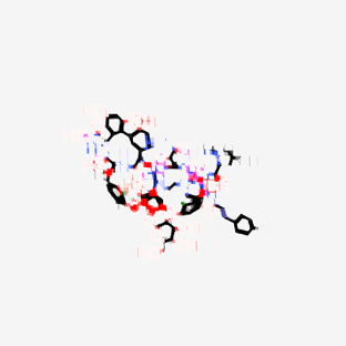 CN[C@H](CC(C)C)C(=O)N[C@H]1C(=O)N[C@@H](CC(N)=O)C(=O)N[C@H]2C(=O)N[C@H]3C(=O)N[C@H](C(=O)N[C@@H](C(=O)NO)c4cc(O)cc(O)c4-c4cc3ccc4O)[C@H](O)c3ccc(c(Cl)c3)Oc3cc2cc(c3O[C@@H]2O[C@H](CO)[C@@H](O)[C@H](O)[C@H]2O[C@H]2C[C@](C)(NCCn3ccc(NC(=O)/C=C/c4ccc(C)cc4)nc3=O)[C@H](O)[C@H](C)O2)Oc2ccc(cc2Cl)[C@H]1O